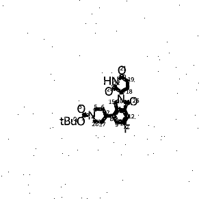 CC(C)(C)OC(=O)N1CCC(c2cc(F)cc3c2CN(C2CCC(=O)NC2=O)C3=O)CC1